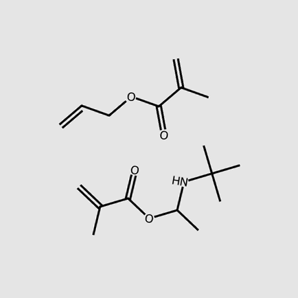 C=C(C)C(=O)OC(C)NC(C)(C)C.C=CCOC(=O)C(=C)C